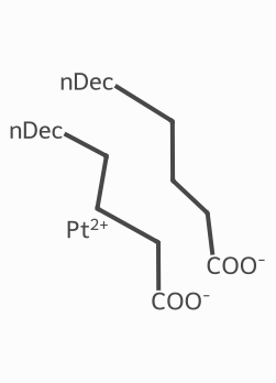 CCCCCCCCCCCCCC(=O)[O-].CCCCCCCCCCCCCC(=O)[O-].[Pt+2]